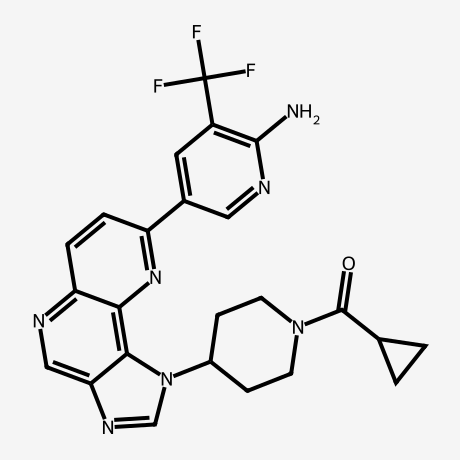 Nc1ncc(-c2ccc3ncc4ncn(C5CCN(C(=O)C6CC6)CC5)c4c3n2)cc1C(F)(F)F